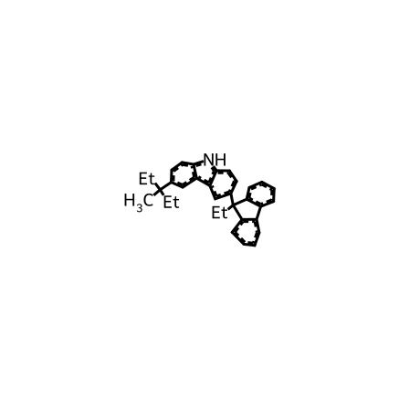 CCC(C)(CC)c1ccc2[nH]c3ccc(C4(CC)c5ccccc5-c5ccccc54)cc3c2c1